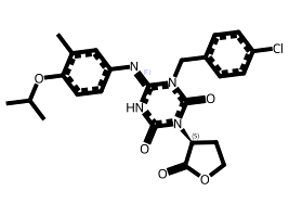 Cc1cc(/N=c2\[nH]c(=O)n([C@H]3CCOC3=O)c(=O)n2Cc2ccc(Cl)cc2)ccc1OC(C)C